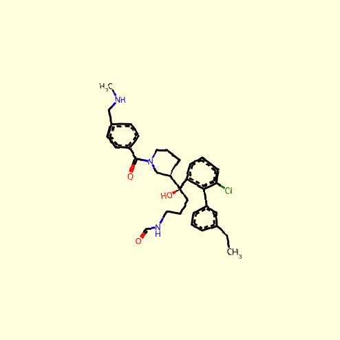 CCc1cccc(-c2c(Cl)cccc2[C@](O)(CCCNC=O)[C@@H]2CCCN(C(=O)c3ccc(CNC)cc3)C2)c1